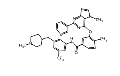 Cc1ccc(C(=O)Nc2cc(CN3CCN(C)CC3)cc(C(F)(F)F)c2)cc1Oc1nc(-c2cccnc2)nc2ccn(C)c12